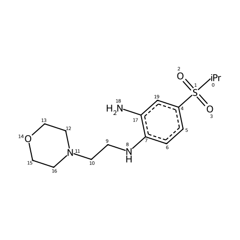 CC(C)S(=O)(=O)c1ccc(NCCN2CCOCC2)c(N)c1